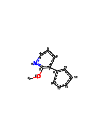 COc1ncccc1-c1c[c]ccc1